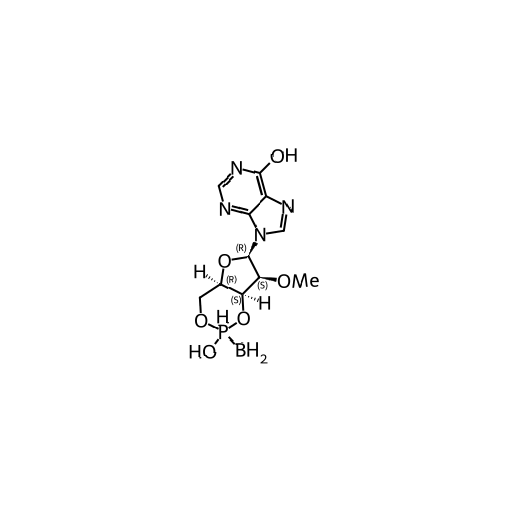 B[PH]1(O)OC[C@H]2O[C@@H](n3cnc4c(O)ncnc43)[C@@H](OC)[C@H]2O1